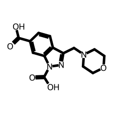 O=C(O)c1ccc2c(CN3CCOCC3)nn(C(=O)O)c2c1